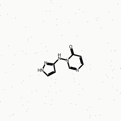 O=c1ccncn1Nc1cc[nH]n1